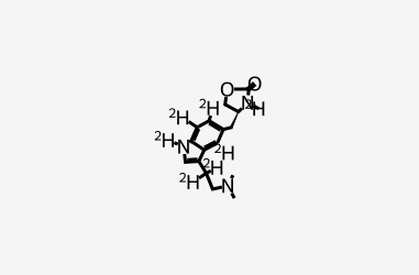 [2H]c1c(C[C@H]2COC(=O)N2[2H])c([2H])c2c(C([2H])([2H])CN(C)C)cn([2H])c2c1[2H]